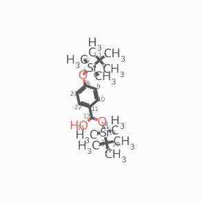 CC(C)(C)[Si](C)(C)Oc1ccc(C(O)O[Si](C)(C)C(C)(C)C)cc1